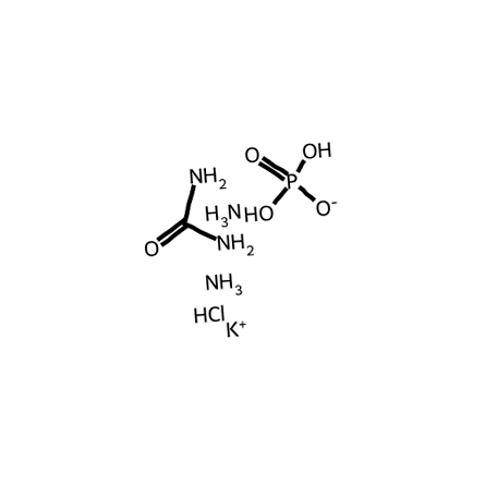 Cl.N.N.NC(N)=O.O=P([O-])(O)O.[K+]